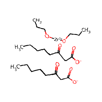 CCCCCC(=O)CC(=O)[O-].CCCCCC(=O)CC(=O)[O-].CCC[O][Zr+2][O]CCC